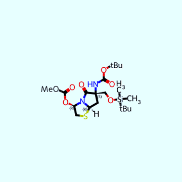 COC(=O)O[C@@H]1CS[C@@H]2C[C@@](CO[Si](C)(C)C(C)(C)C)(NC(=O)OC(C)(C)C)C(=O)N12